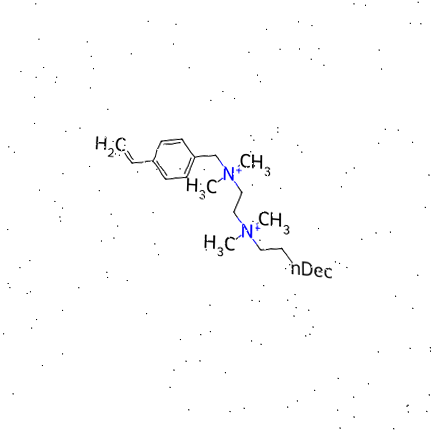 C=Cc1ccc(C[N+](C)(C)CC[N+](C)(C)CCCCCCCCCCCC)cc1